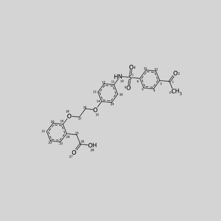 CC(=O)c1ccc(S(=O)(=O)Nc2ccc(OCCOc3ccccc3CC(=O)O)cc2)cc1